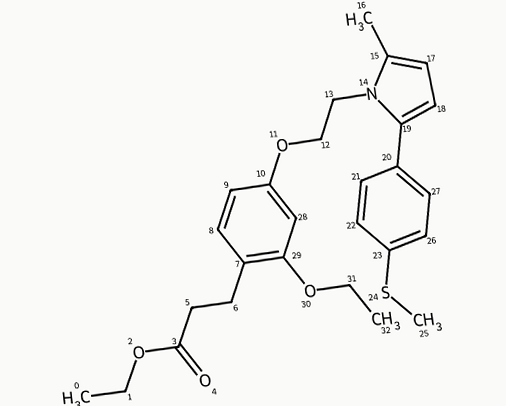 CCOC(=O)CCc1ccc(OCCn2c(C)ccc2-c2ccc(SC)cc2)cc1OCC